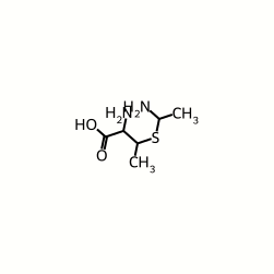 CC(N)SC(C)C(N)C(=O)O